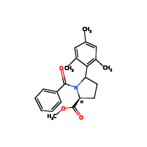 COC(=O)[C@@H]1CCC(c2c(C)cc(C)cc2C)N1C(=O)c1ccccc1